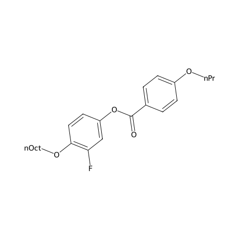 CCCCCCCCOc1ccc(OC(=O)c2ccc(OCCC)cc2)cc1F